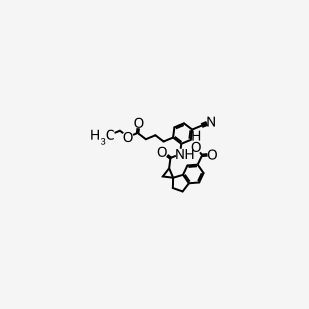 CCOC(=O)CCCc1ccc(C#N)cc1NC(=O)C1CC12CCc1ccc(C(=O)O)cc12